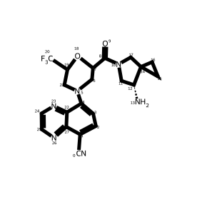 N#Cc1ccc(N2CC(C(=O)N3C[C@@H](N)C4(CC4)C3)OC(C(F)(F)F)C2)c2nccnc12